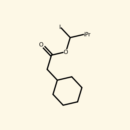 CC(C)C(I)OC(=O)CC1CCCCC1